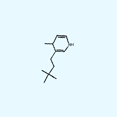 CC1C=CNC=C1CCC(C)(C)C